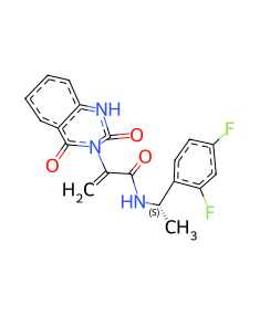 C=C(C(=O)N[C@@H](C)c1ccc(F)cc1F)n1c(=O)[nH]c2ccccc2c1=O